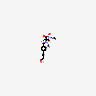 CNC(=O)C(C)(C(=O)NO)N(C)C(=O)c1ccc(C#CCCO)cc1